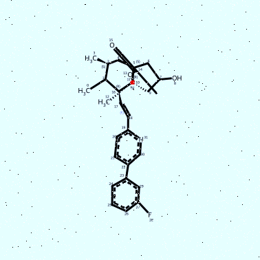 CC1[C@@H](C)C[C@]23CC(O)C[C@]2([C@@H](C)OC3=O)[C@H]1/C=C/c1ccc(-c2cccc(F)c2)cn1